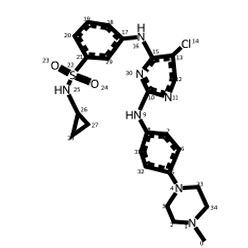 CN1CCN(c2ccc(Nc3ncc(Cl)c(Nc4cccc(S(=O)(=O)NC5CC5)c4)n3)cc2)CC1